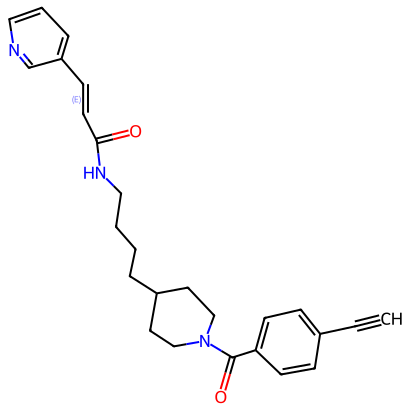 C#Cc1ccc(C(=O)N2CCC(CCCCNC(=O)/C=C/c3cccnc3)CC2)cc1